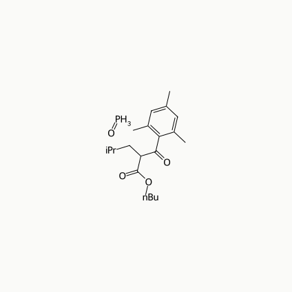 CCCCOC(=O)C(CC(C)C)C(=O)c1c(C)cc(C)cc1C.O=[PH3]